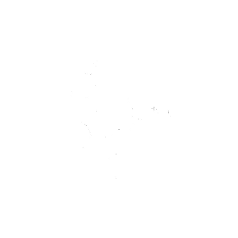 CCCCc1ccc(OCC(O)CNC(C)C)c(OCC(O)CNC(C)C)c1